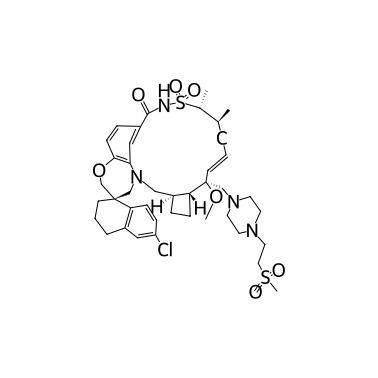 CO[C@]1(CN2CCN(CCS(C)(=O)=O)CC2)/C=C/C[C@H](C)[C@@H](C)S(=O)(=O)NC(=O)c2ccc3c(c2)N(C[C@@H]2CC[C@H]21)C[C@@]1(CCCc2cc(Cl)ccc21)CO3